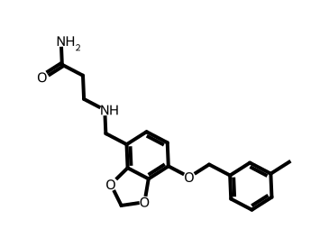 Cc1cccc(COc2ccc(CNCCC(N)=O)c3c2OCO3)c1